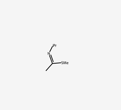 CS/C(C)=N\C(C)C